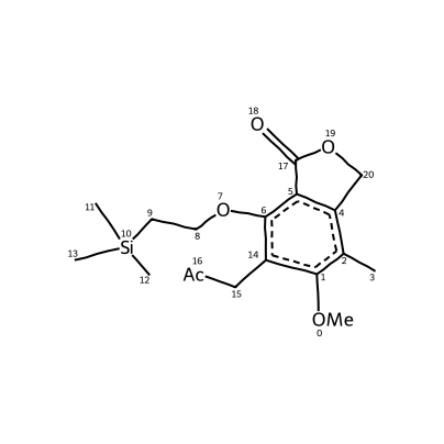 COc1c(C)c2c(c(OCC[Si](C)(C)C)c1CC(C)=O)C(=O)OC2